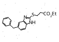 CCOC(=O)CCSc1nc2cc(Cc3ccccc3)ccc2[nH]1